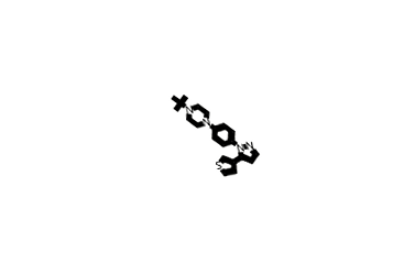 CC(C)(C)N1CCN(c2ccc(-n3nccc3-c3ccsc3)cc2)CC1